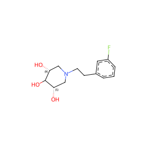 OC1[C@H](O)CN(CCc2cccc(F)c2)C[C@@H]1O